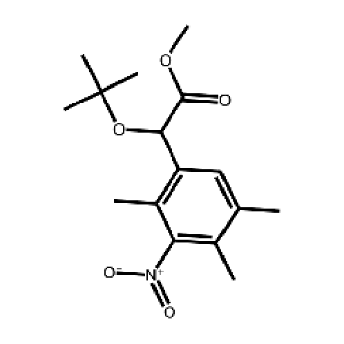 COC(=O)C(OC(C)(C)C)c1cc(C)c(C)c([N+](=O)[O-])c1C